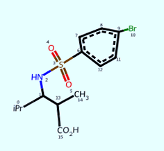 CC(C)C(NS(=O)(=O)c1ccc(Br)cc1)C(C)C(=O)O